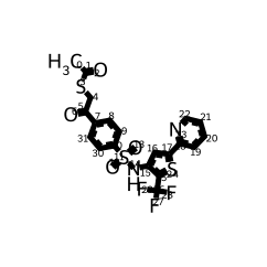 CC(=O)SCC(=O)c1ccc(S(=O)(=O)Nc2cc(-c3ccccn3)sc2C(F)(F)F)cc1